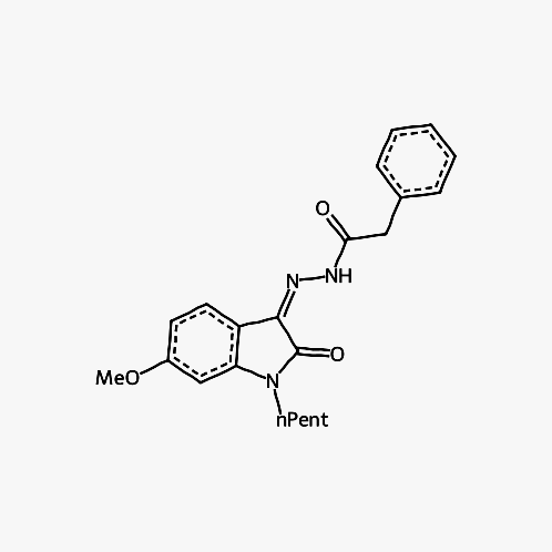 CCCCCN1C(=O)C(=NNC(=O)Cc2ccccc2)c2ccc(OC)cc21